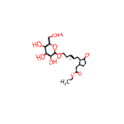 CCOC(=O)CC1CCC(=O)C1C/C=C/CCOC1OC(CO)C(O)C(O)C1O